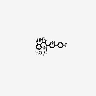 O=C(O)CNC(c1ccc(-c2ccc(F)cc2)nc1)c1cn[nH]c1-c1ccccc1F